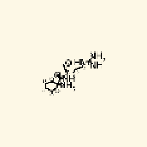 N=C(N)NCCC[C@@H]([C]=O)NC(=O)C1(N)CCCCC1